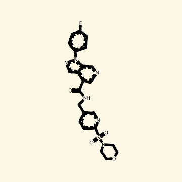 O=C(NCc1ccc(S(=O)(=O)N2CCOCC2)nc1)c1cncc2c1cnn2-c1ccc(F)cc1